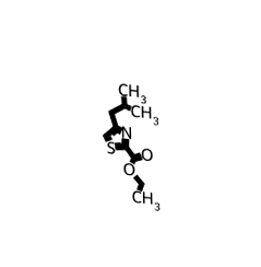 CCOC(=O)c1nc(CC(C)C)cs1